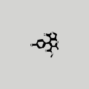 COC(=O)c1c(C)nc2c(c1-c1ccc(Cl)cc1)C(=O)OC2